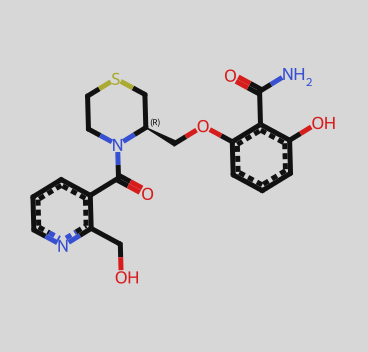 NC(=O)c1c(O)cccc1OC[C@@H]1CSCCN1C(=O)c1cccnc1CO